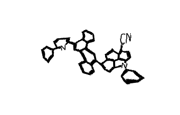 N#Cc1ccc2c3c1ccc1c(-c4cc5c6ccccc6c(-c6cccc(-c7ccccc7)n6)cc5c5ccccc45)ccc(c13)n2-c1ccccc1